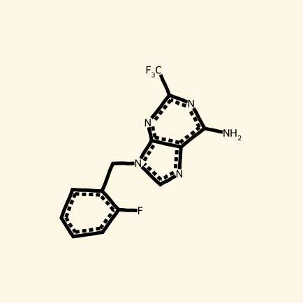 Nc1nc(C(F)(F)F)nc2c1ncn2Cc1ccccc1F